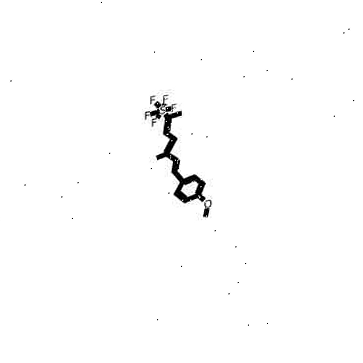 COc1ccc(/C=C/C(C)=C/C=C(\C)S(F)(F)(F)(F)F)cc1